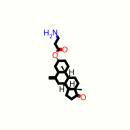 C=C1C[C@@H]2[C@H](CC[C@]3(C)C(=O)CC[C@@H]23)[C@@]2(C)CC[C@H](OC(=O)CCN)CC12